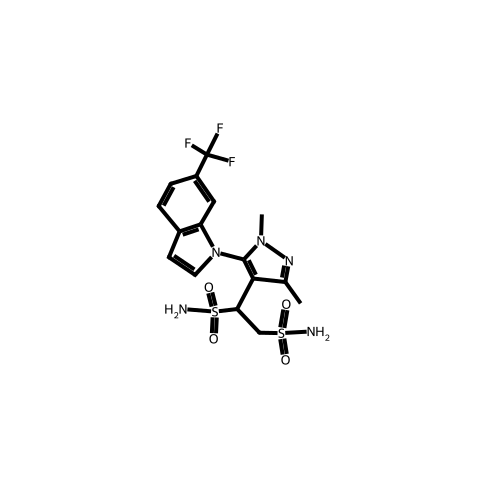 Cc1nn(C)c(-n2ccc3ccc(C(F)(F)F)cc32)c1C(CS(N)(=O)=O)S(N)(=O)=O